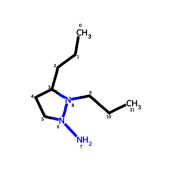 CCCC1CCN(N)N1CCC